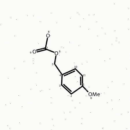 COc1ccc(COC([O])=O)cc1